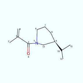 C=C(C)C(=O)N1CCC[C@@H](C(C)C)C1